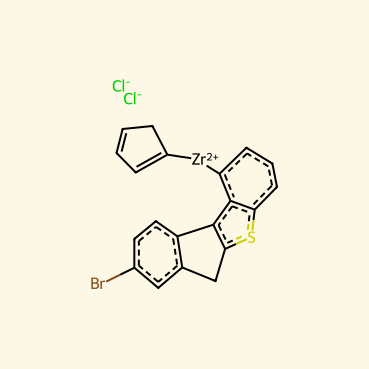 Brc1ccc2c(c1)Cc1sc3ccc[c]([Zr+2][C]4=CC=CC4)c3c1-2.[Cl-].[Cl-]